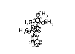 COc1cc(OC)c(-c2csc3c(N(CC4CCOCC4)CC4CC4)c(OC)nn23)c(OC)c1